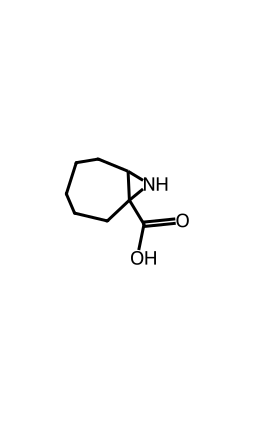 O=C(O)C12CCCCCC1N2